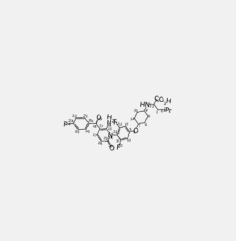 CC(C)CC(NC1CCC(Oc2cc(F)c(-n3c(N)c(C(=O)c4ccc(F)cc4)ccc3=O)c(F)c2)CC1)C(=O)O